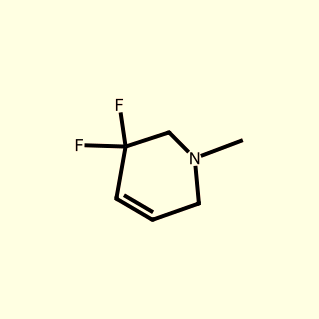 CN1CC=CC(F)(F)C1